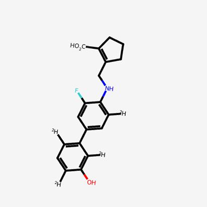 [2H]c1cc([2H])c(-c2cc([2H])c(NCC3=C(C(=O)O)CCC3)c(F)c2)c([2H])c1O